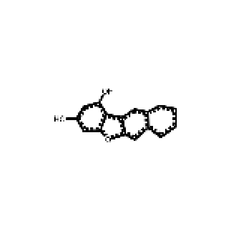 Oc1cc(O)c2c(c1)oc1cc3ccccc3cc12